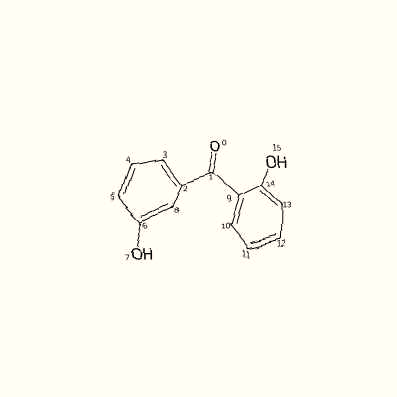 O=C(c1cccc(O)c1)c1ccccc1O